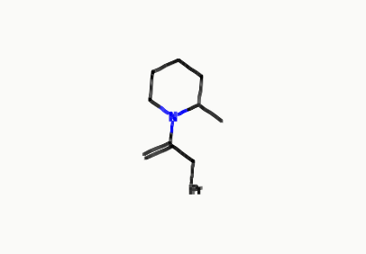 C=C(CC(C)C)N1CCCCC1C